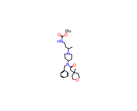 CC(CCNC(=O)OC(C)(C)C)N1CCC(N(Cc2ccccc2)C(=O)CC2(C)CCOCC2)CC1